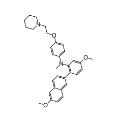 COc1ccc(-c2ccc3cc(OC)ccc3c2)c(N(C)c2ccc(OCCN3CCCCC3)cc2)c1